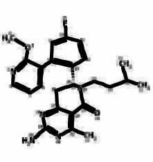 COc1ncccc1-c1cc(F)ccc1[C@H]1Cc2nc(N)nc(C)c2C(=O)N1CCC(C)C